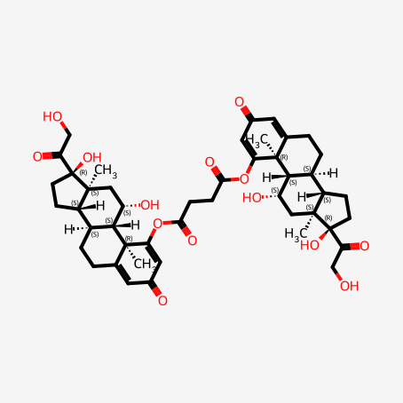 C[C@@]12C(=CC(=O)C=C1OC(=O)CCC(=O)OC1=CC(=O)C=C3CC[C@@H]4[C@H]([C@@H](O)C[C@@]5(C)[C@H]4CC[C@]5(O)C(=O)CO)[C@]31C)CC[C@@H]1[C@@H]2[C@@H](O)C[C@@]2(C)[C@H]1CC[C@]2(O)C(=O)CO